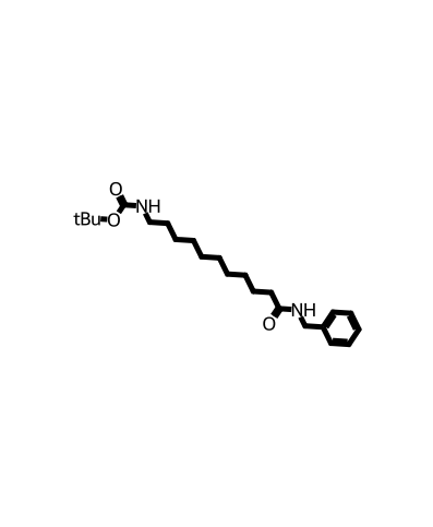 CC(C)(C)OC(=O)NCCCCCCCCCCC(=O)NCc1ccccc1